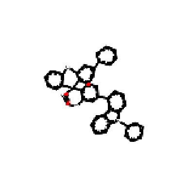 c1ccc(-c2ccc3c(c2)Oc2ccccc2C32c3ccccc3Oc3cc(-c4cccc5c4c4ccccc4n5-c4ccccc4)ccc32)cc1